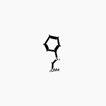 COCSc1[c]cccc1